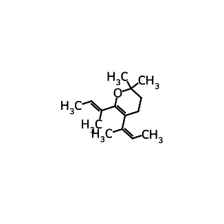 C/C=C(/C)C1=C(/C(C)=C/C)OC(C)(C)CC1